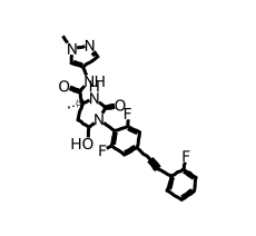 Cn1cc(NC(=O)[C@]2(C)CC(O)N(c3c(F)cc(C#Cc4ccccc4F)cc3F)C(=O)N2)cn1